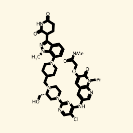 CNC(=O)COc1cc2cc(Nc3nc(N4CCN(CC5CCN(c6cccc7c(C8CCC(=O)NC8=O)nn(C)c67)CC5)[C@@H](CO)C4)ncc3Cl)cnc2n(C(C)C)c1=O